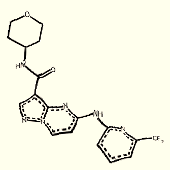 O=C(NC1CCOCC1)c1cnn2ccc(Nc3cccc(C(F)(F)F)n3)nc12